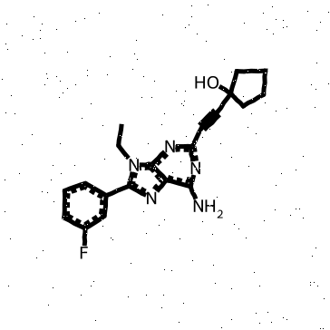 CCn1c(-c2cccc(F)c2)nc2c(N)nc(C#CC3(O)CCCC3)nc21